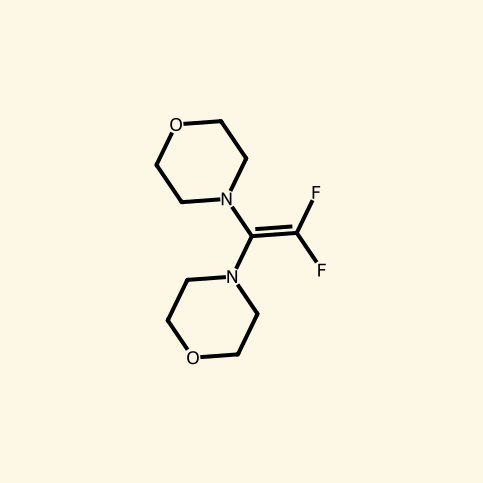 FC(F)=C(N1CCOCC1)N1CCOCC1